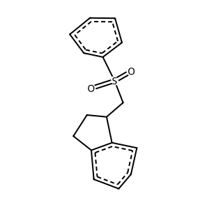 O=S(=O)(CC1CCc2ccccc21)c1ccccc1